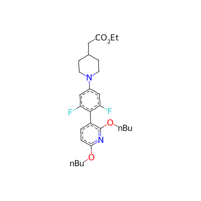 CCCCOc1ccc(-c2c(F)cc(N3CCC(CC(=O)OCC)CC3)cc2F)c(OCCCC)n1